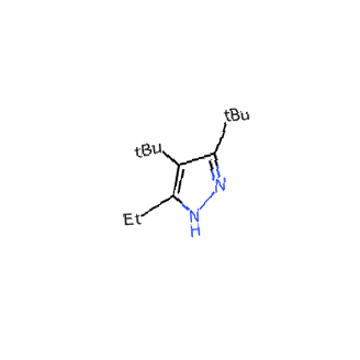 CCc1[nH]nc(C(C)(C)C)c1C(C)(C)C